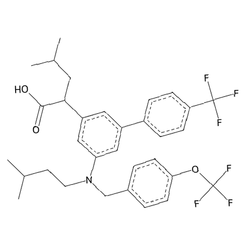 CC(C)CCN(Cc1ccc(OC(F)(F)F)cc1)c1cc(-c2ccc(C(F)(F)F)cc2)cc(C(CC(C)C)C(=O)O)c1